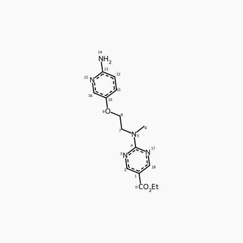 CCOC(=O)c1cnc(N(C)CCOc2ccc(N)nc2)nc1